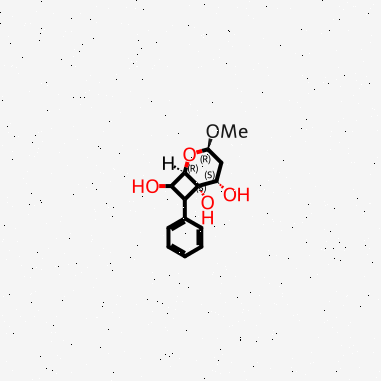 CO[C@H]1C[C@H](O)[C@@]2(O)C(c3ccccc3)C(O)[C@H]2O1